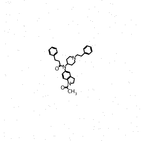 CC(=O)N1CCc2cc(N(C(=O)CCc3ccccc3)C3CCN(CCc4ccccc4)CC3)ccc21